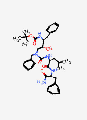 CC(C)C[C@H](NC(=O)N(Cc1ccccc1)C[C@@H](O)[C@H](Cc1ccccc1)NC(=O)OC(C)(C)C)C(=O)N[C@@H](Cc1ccccc1)C(N)=O